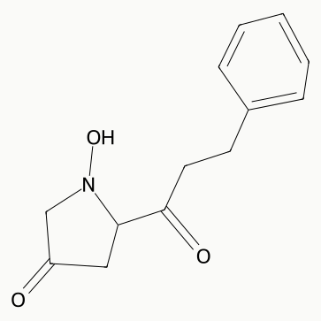 O=C1CC(C(=O)CCc2ccccc2)N(O)C1